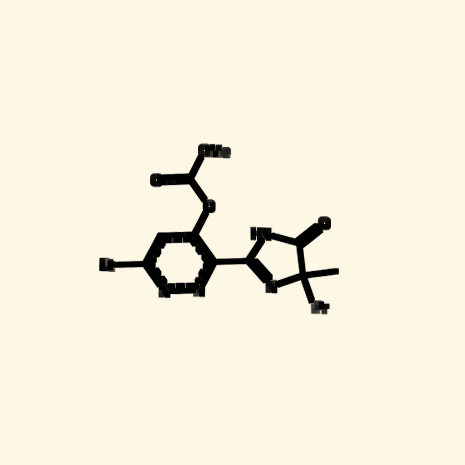 CCc1cc(OC(=O)OC)c(C2=NC(C)(C(C)C)C(=O)N2)nn1